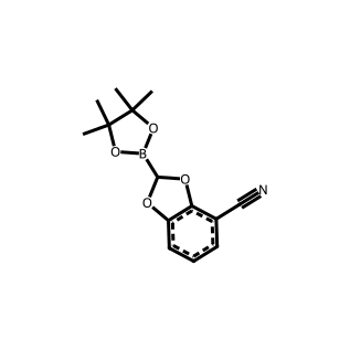 CC1(C)OB(C2Oc3cccc(C#N)c3O2)OC1(C)C